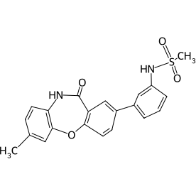 Cc1ccc2c(c1)Oc1ccc(-c3cccc(NS(C)(=O)=O)c3)cc1C(=O)N2